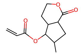 C=CC(=O)OC1C(C)CC2C(=O)OCCC21